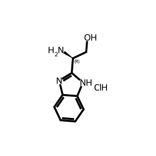 Cl.N[C@@H](CO)c1nc2ccccc2[nH]1